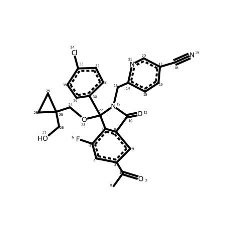 CC(=O)c1cc(F)c2c(c1)C(=O)N(Cc1ccc(C#N)cn1)C2(OCC1(CO)CC1)c1ccc(Cl)cc1